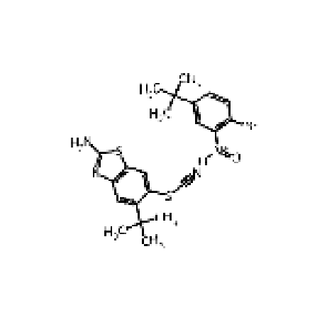 CC(C)(C)c1cc2nc(N)sc2cc1SC#N.CC(C)(C)c1ccc(Br)c([N+](=O)[O-])c1